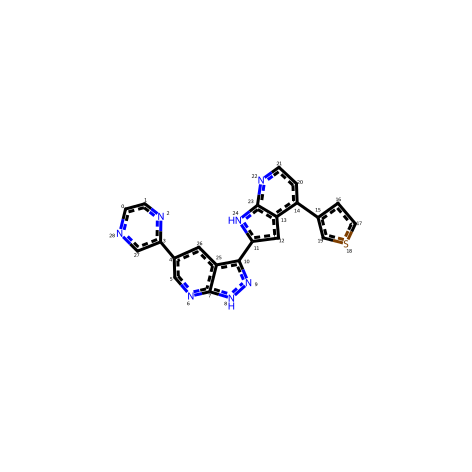 c1cnc(-c2cnc3[nH]nc(-c4cc5c(-c6ccsc6)ccnc5[nH]4)c3c2)cn1